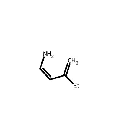 C=C(/C=C\N)CC